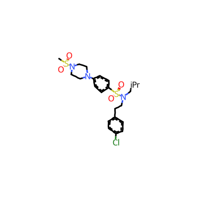 CC(C)CN(CCc1ccc(Cl)cc1)S(=O)(=O)c1ccc(N2CCN(S(C)(=O)=O)CC2)cc1